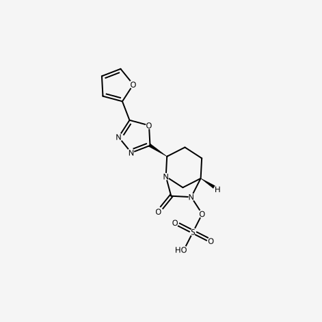 O=C1N2C[C@H](CC[C@@H]2c2nnc(-c3ccco3)o2)N1OS(=O)(=O)O